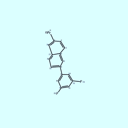 CCCc1ccc2cc(-c3cc(F)cc(F)c3)ccc2c1